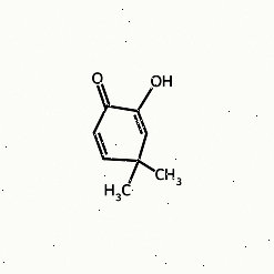 CC1(C)C=CC(=O)C(O)=C1